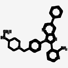 Nc1ncccc1-c1nc2cc(-c3ccccc3)cnc2n1-c1ccc(CN2CCC(NC(=O)O)CC2)cc1